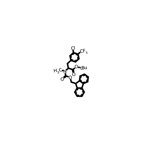 CN(C(=O)OCC1c2ccccc2-c2ccccc21)C(Cc1ccc(C(F)(F)F)c(Cl)c1)C(=O)OC(C)(C)C